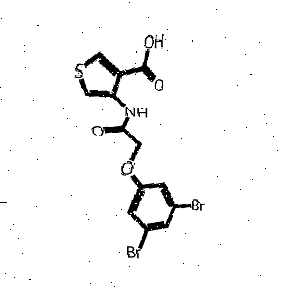 O=C(COc1cc(Br)cc(Br)c1)Nc1cscc1C(=O)O